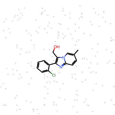 Cc1ccc2nc(-c3ccccc3Cl)c(CO)n2c1